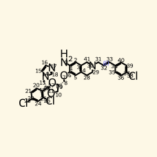 Nc1cc2c(cc1OC[C@@H]1CO[C@@](Cn3ccnc3)(c3ccc(Cl)cc3Cl)O1)CCN(C/C=C/c1ccc(Cl)cc1)C2